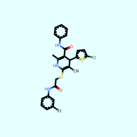 CCc1cccc(NC(=O)CSC2=C(C#N)C(c3ccc(Cl)s3)C(C(=O)Nc3ccccc3)=C(C)N2)c1